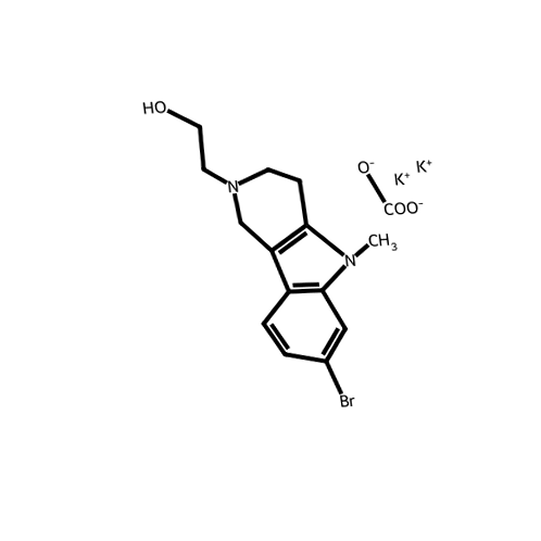 Cn1c2c(c3ccc(Br)cc31)CN(CCO)CC2.O=C([O-])[O-].[K+].[K+]